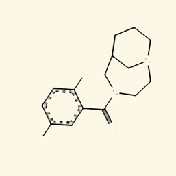 Cc1ccc(C)c(C(=O)N2CCN3CCCC(C3)C2)c1.[CH2]